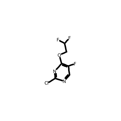 Fc1cnc(Cl)nc1OCC(F)F